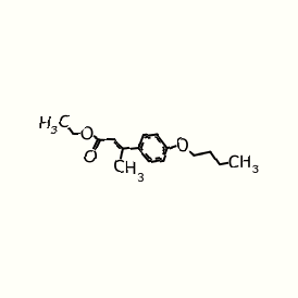 CCCCOc1ccc(/C(C)=C/C(=O)OCC)cc1